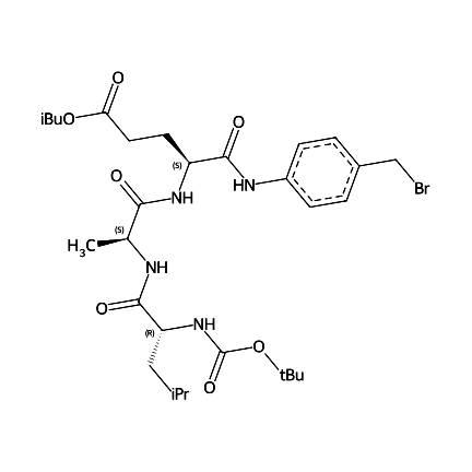 CC(C)COC(=O)CC[C@H](NC(=O)[C@H](C)NC(=O)[C@@H](CC(C)C)NC(=O)OC(C)(C)C)C(=O)Nc1ccc(CBr)cc1